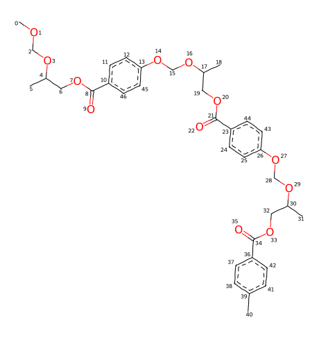 COCOC(C)COC(=O)c1ccc(OCOC(C)COC(=O)c2ccc(OCOC(C)COC(=O)c3ccc(C)cc3)cc2)cc1